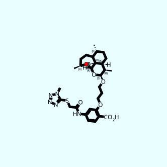 C[C@H]1[C@@H](OCCCOc2cc(NC(=O)CSc3nnnn3C)ccc2C(=O)O)O[C@@H]2O[C@@]3(C)CCC4[C@H](C)CC[C@@H]1[C@]42OO3